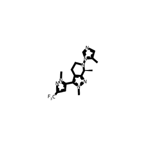 Cc1cncn1N1CCc2c(nn(C)c2-c2cc(C(F)(F)F)nn2C)[C@@H]1C